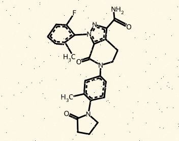 Cc1cc(N2CCc3c(C(N)=O)nn(-c4c(C)cccc4F)c3C2=O)ccc1N1CCCC1=O